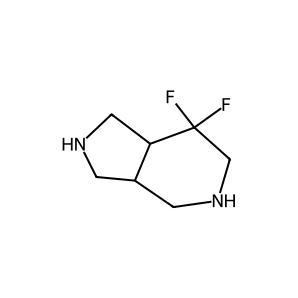 FC1(F)CNCC2CNCC21